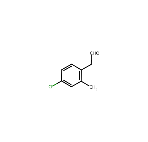 Cc1cc(Cl)ccc1CC=O